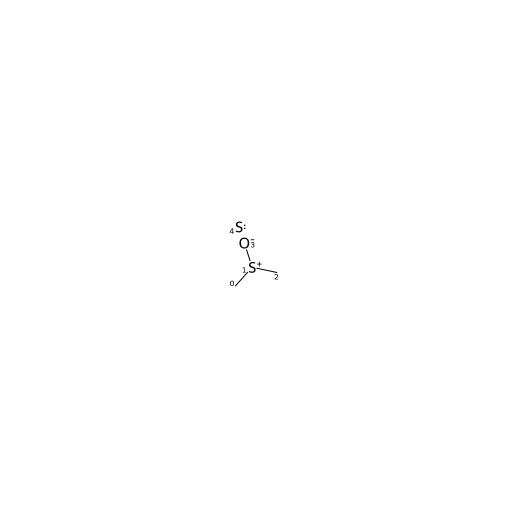 C[S+](C)[O-].[S]